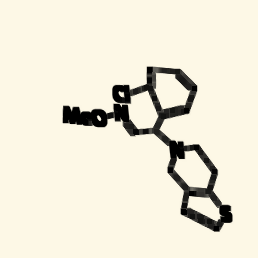 CO/N=C/C(c1ccccc1Cl)N1CCc2sccc2C1